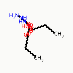 CCCCCCCC/C=C\CCCCCCCC(=O)OCC(COP(=O)(O)OCCNCCNCCN)OC(=O)CCCCCCC/C=C\CCCCCCCC